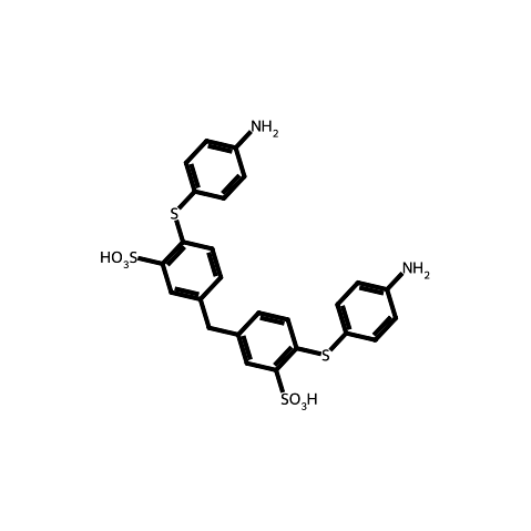 Nc1ccc(Sc2ccc(Cc3ccc(Sc4ccc(N)cc4)c(S(=O)(=O)O)c3)cc2S(=O)(=O)O)cc1